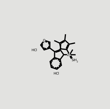 CC1=C(C)C(C)[C]([Zr]([CH3])([CH3])(=[SiH2])[CH]2C(C)=C(c3ccoc3)c3ccccc32)=C1C.Cl.Cl